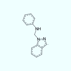 [c]1nn(CNc2ccccc2)c2ccccc12